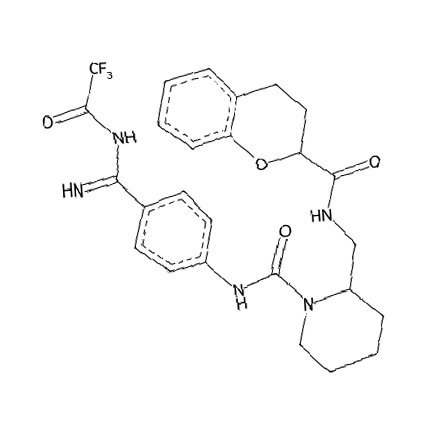 N=C(NC(=O)C(F)(F)F)c1ccc(NC(=O)N2CCCCC2CNC(=O)C2CCc3ccccc3O2)cc1